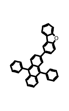 c1ccc(-c2c3ccccc3c(-c3ccccc3)c3cc(-c4ccc5oc6ccccc6c5c4)ccc23)cc1